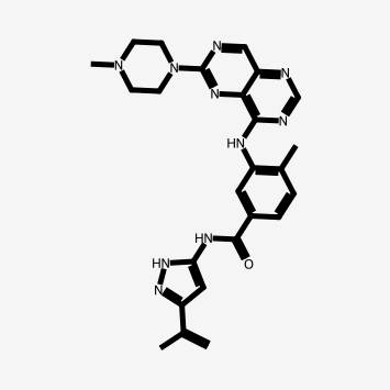 C=C(C)c1cc(NC(=O)c2ccc(C)c(Nc3ncnc4cnc(N5CCN(C)CC5)nc34)c2)[nH]n1